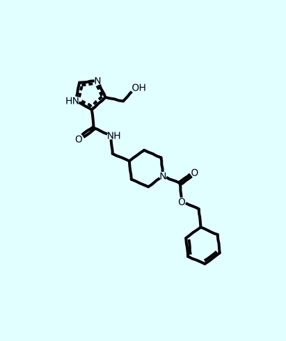 O=C(NCC1CCN(C(=O)OCC2C=CC=CC2)CC1)c1[nH]cnc1CO